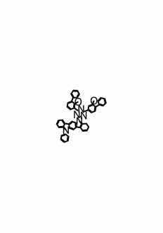 C1=Cc2c(n(-c3nc(-c4ccc5c(c4)oc4ccccc45)nc(-c4cccc5c4oc4ccccc45)n3)c3cc4c5ccccc5n(-c5ccccc5)c4cc23)CC1